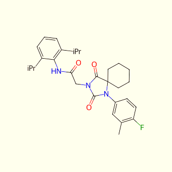 Cc1cc(N2C(=O)N(CC(=O)Nc3c(C(C)C)cccc3C(C)C)C(=O)C23CCCCC3)ccc1F